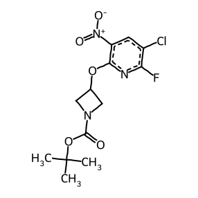 CC(C)(C)OC(=O)N1CC(Oc2nc(F)c(Cl)cc2[N+](=O)[O-])C1